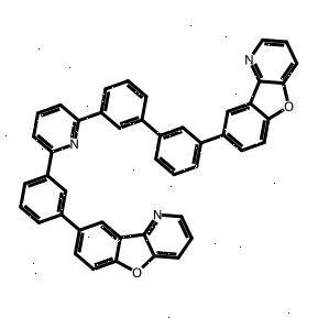 c1cc(-c2cccc(-c3cccc(-c4cccc(-c5ccc6oc7cccnc7c6c5)c4)n3)c2)cc(-c2ccc3oc4cccnc4c3c2)c1